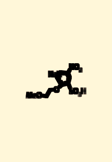 COCCOc1ccc([N+](=O)[O-])cc1S(=O)(=O)O.[NaH]